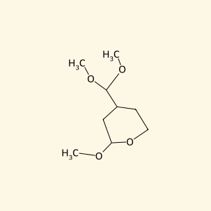 COC1CC(C(OC)OC)CCO1